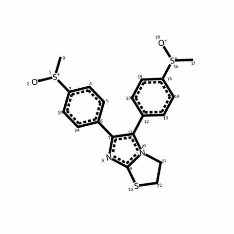 C[S+]([O-])c1ccc(-c2nc3n(c2-c2ccc([S+](C)[O-])cc2)CCS3)cc1